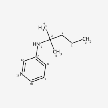 CCCC(C)(C)Nc1cccnc1